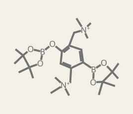 CC1(C)OB(Oc2cc(C[N+](C)(C)C)c(B3OC(C)(C)C(C)(C)O3)cc2C[N+](C)(C)C)OC1(C)C